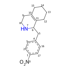 O=[N+]([O-])c1ccc(CC2NCCC3=C2CCCC3)cc1